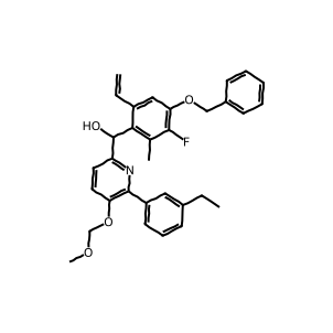 C=Cc1cc(OCc2ccccc2)c(F)c(C)c1C(O)c1ccc(OCOC)c(-c2cccc(CC)c2)n1